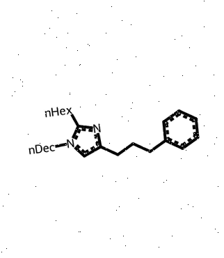 CCCCCCCCCCn1cc(CCCc2ccccc2)nc1CCCCCC